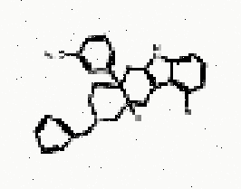 COc1cccc(C23CCN(Cc4ccccc4)CC2(O)Cc2c([nH]c4cccc(Br)c24)C3)c1